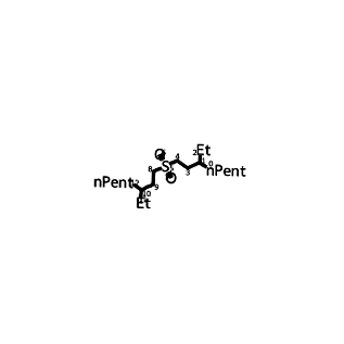 CCCCCC(CC)CCS(=O)(=O)CCC(CC)CCCCC